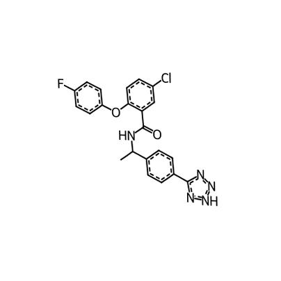 CC(NC(=O)c1cc(Cl)ccc1Oc1ccc(F)cc1)c1ccc(-c2nn[nH]n2)cc1